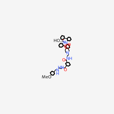 COc1ccc(CNCCNC(=O)c2cccc(C(=O)NCCN3CCC(OC(=O)N(c4ccccc4-c4ccccc4)N(C(=O)O)c4ccccc4-c4ccccc4)CC3)c2)cc1